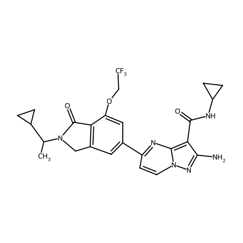 CC(C1CC1)N1Cc2cc(-c3ccn4nc(N)c(C(=O)NC5CC5)c4n3)cc(OCC(F)(F)F)c2C1=O